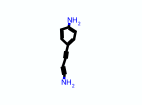 NC#CC#Cc1ccc(N)cc1